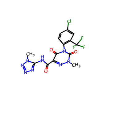 Cn1nnnc1NC(=O)c1nn(C)c(=O)n(-c2ccc(Cl)cc2C(F)(F)F)c1=O